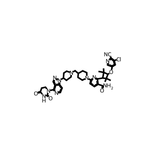 CC1(C)C(Oc2cnc(C#N)c(Cl)c2)C(C)(C)C1c1nc(N2CCC(CN3CCC(n4ncc5c(N6CCC(=O)NC6=O)nccc54)CC3)CC2)ccc1C(N)=O